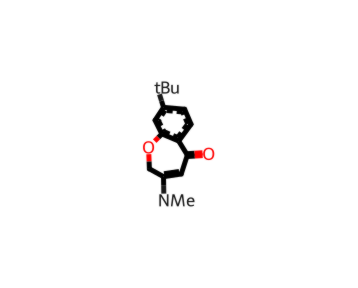 CNC1=CC(=O)c2ccc(C(C)(C)C)cc2OC1